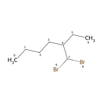 CCCCC(CC)C(Br)Br